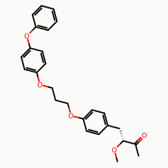 CO[C@H](Cc1ccc(OCCCOc2ccc(Oc3ccccc3)cc2)cc1)C(C)=O